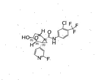 O=C(Nc1ccc(C(F)(F)F)c(Cl)c1)[C@]12C[C@@]1(c1ccnc(F)c1)[C@H]1O[C@@H]2C[C@@H]1O